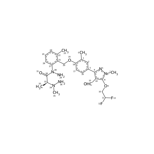 Cc1cc(-c2nn(C)c(OCC(F)F)c2C=O)ccc1OCc1c(C)cccc1N(N)C(=O)[C@H](C)N(C)N